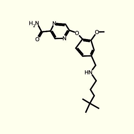 COc1cc(CNCCCC(C)(C)C)ccc1Oc1cnc(C(N)=O)cn1